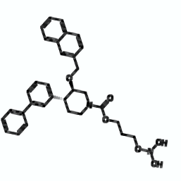 O=C(OCCCON(O)O)N1CC[C@H](c2cccc(-c3ccccc3)c2)[C@@H](OCc2ccc3ccccc3c2)C1